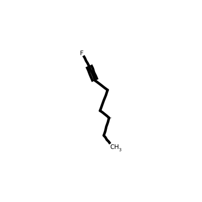 CC[CH]CCC#CF